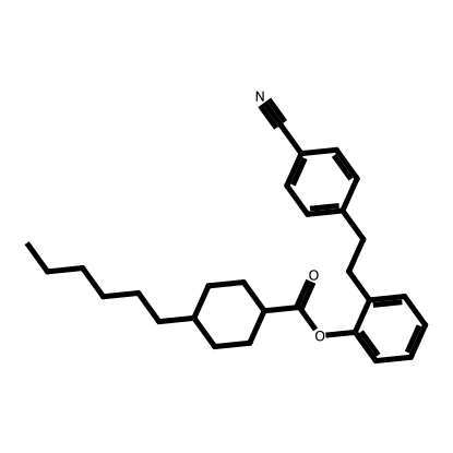 CCCCCCC1CCC(C(=O)Oc2ccccc2CCc2ccc(C#N)cc2)CC1